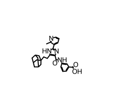 Cc1ncccc1-c1nc(C(=O)Nc2cccc(C(=O)O)c2)c(CCC23CC4CC(CC(C4)C2)C3)[nH]1